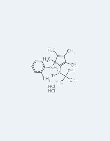 CC1=C(C)C(C)([SiH2]c2ccccc2C)C([N]([Ti])C(C)(C)C)=C1C.Cl.Cl